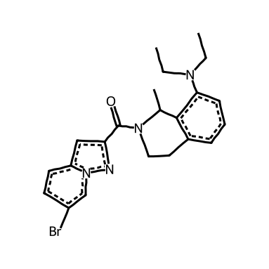 CCN(CC)c1cccc2c1C(C)N(C(=O)c1cc3ccc(Br)cn3n1)CC2